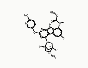 CN(C(=O)OC(C)(C)C)c1cc(F)cc2c1[nH]c1nc(Oc3ccc(C#N)nc3)nc(N3C[C@H]4C[C@@H]3C[C@H]4N)c12